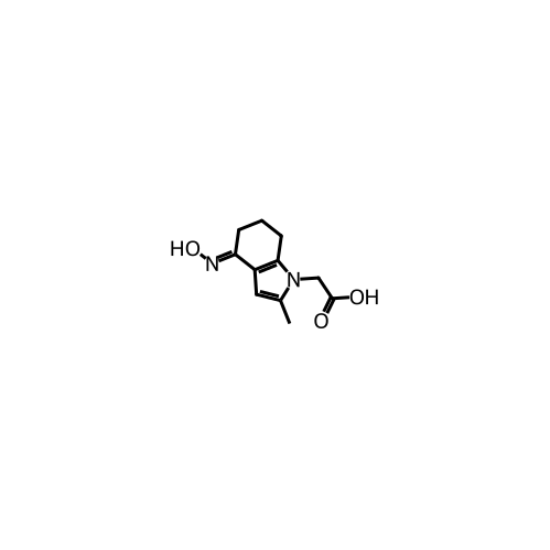 Cc1cc2c(n1CC(=O)O)CCCC2=NO